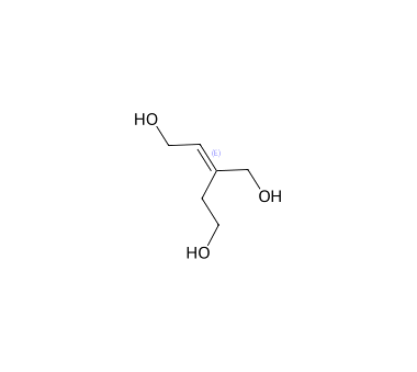 OC/C=C(/CO)CCO